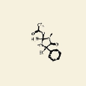 CCC1(c2ccccc2)NC(N)(OC(=O)C(F)(F)F)N(C)C1=O